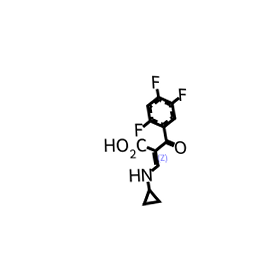 O=C(O)/C(=C\NC1CC1)C(=O)c1cc(F)c(F)cc1F